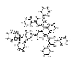 C1=CC2=C(c3cc(-c4ccccc4)cc(-c4ccccc4)c3)c3ccccc3C(c3cc(-c4ccccc4)cc(-c4ccccc4)c3)C2C=C1c1ccc(-c2nc3ccccc3n2-c2ccccc2)cc1